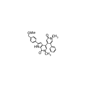 COCc1ccc(-c2cc3c(-c4cc(=O)n(C)cc4-c4ccccc4)cn(C)c(=O)c3[nH]2)cc1